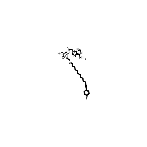 C[C@H](Cn1cnc2c(N)ncnc21)OCP(=O)(O)OCCSCCCCCCCCCCCC#Cc1ccc(F)cc1